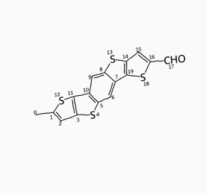 Cc1cc2sc3cc4c(cc3c2s1)sc1cc(C=O)sc14